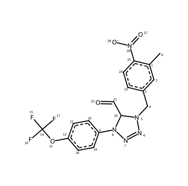 Cc1cc(CN2N=NN(c3ccc(OC(F)(F)F)cc3)C2C=O)ccc1[N+](=O)[O-]